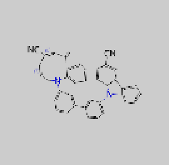 C=C1/C=C(C#N)\C=C/CN(c2cccc(-c3cccc(N4c5ccccc5C5C=C(C#N)C=CC54)c3)c2)c2ccccc21